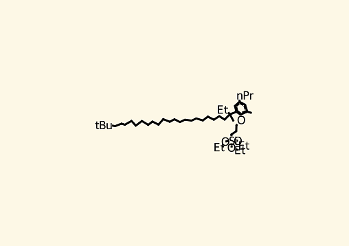 CCCc1cc(C)c(OCCC[Si](OCC)(OCC)OCC)c(C(C)(CC)CCCCCCCCCCCCCCCCCCCCCC(C)(C)C)c1